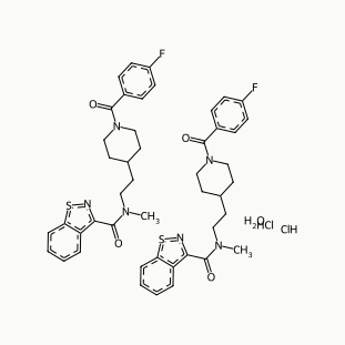 CN(CCC1CCN(C(=O)c2ccc(F)cc2)CC1)C(=O)c1nsc2ccccc12.CN(CCC1CCN(C(=O)c2ccc(F)cc2)CC1)C(=O)c1nsc2ccccc12.Cl.Cl.O